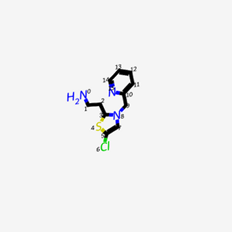 NCCC1SC(Cl)=CN1Cc1ccccn1